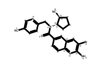 N#Cc1ccc(CN(C(=O)c2ccc3nc(N)c(Br)cc3c2)[C@H]2CCC[C@@H]2C#N)nc1